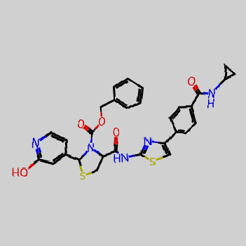 O=C(NC1CC1)c1ccc(-c2csc(NC(=O)C3CSC(c4ccnc(O)c4)N3C(=O)OCc3ccccc3)n2)cc1